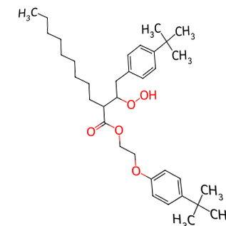 CCCCCCCCCC(C(=O)OCCOc1ccc(C(C)(C)C)cc1)C(Cc1ccc(C(C)(C)C)cc1)OO